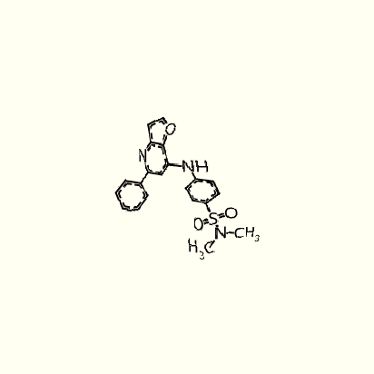 CN(C)S(=O)(=O)c1ccc(Nc2cc(-c3ccccc3)nc3ccoc23)cc1